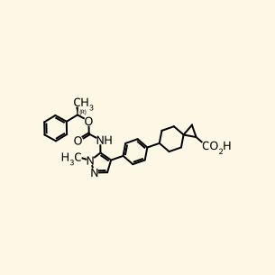 C[C@@H](OC(=O)Nc1c(-c2ccc(C3CCC4(CC3)CC4C(=O)O)cc2)cnn1C)c1ccccc1